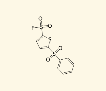 O=S(=O)(F)c1ccc(S(=O)(=O)c2ccccc2)s1